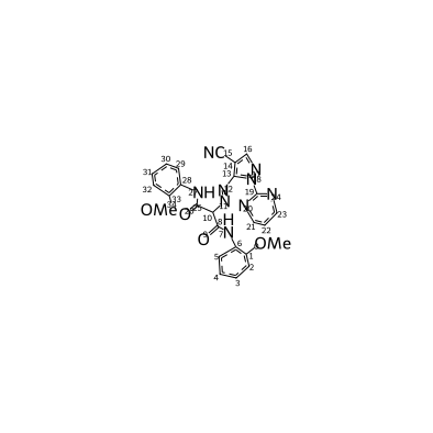 COc1ccccc1NC(=O)C(N=Nc1c(C#N)cnn1-c1ncccn1)C(=O)Nc1ccccc1OC